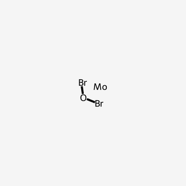 BrOBr.[Mo]